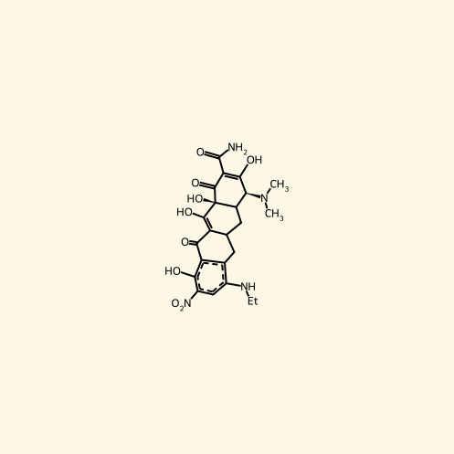 CCNc1cc([N+](=O)[O-])c(O)c2c1CC1CC3[C@H](N(C)C)C(O)=C(C(N)=O)C(=O)[C@@]3(O)C(O)=C1C2=O